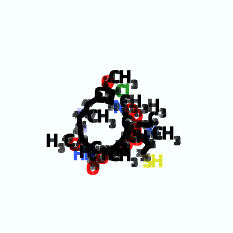 COc1cc2cc(c1Cl)N(C)C(=O)C[C@H](OC(=O)[C@H](C)N(C)C(=O)CCS)[C@@]1(C)O[C@H]1[C@H](C)[C@@H]1C[C@@H](NC(=O)O1)[C@H](OC)/C=C/C=C(\C)C2